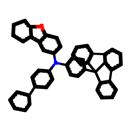 c1ccc(-c2ccc(N(c3ccc(C45c6ccccc6-c6cccc(c64)-c4ccccc45)cc3)c3ccc4oc5ccccc5c4c3)cc2)cc1